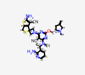 C=C1C[C@@H](COc2nc(N3CC4(C3)SCc3sc(N)c(C#N)c34)c(C#N)c(N(CC)[C@H](C)c3cccnc3N)n2)N(C)C1